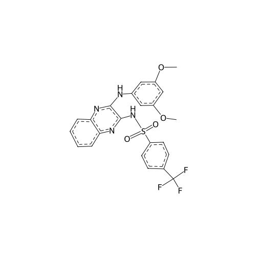 COc1cc(Nc2nc3ccccc3nc2NS(=O)(=O)c2ccc(C(F)(F)F)cc2)cc(OC)c1